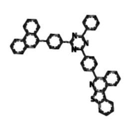 c1ccc(-c2nc(-c3ccc(-c4cc5ccccc5c5ccccc45)cc3)nc(-c3ccc(-c4nc5sc6ccccc6c5c5ccccc45)cc3)n2)cc1